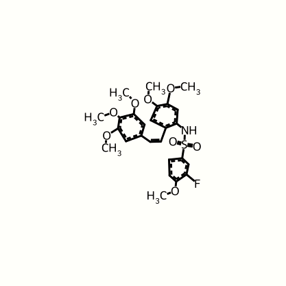 COc1ccc(S(=O)(=O)Nc2cc(OC)c(OC)cc2/C=C\c2cc(OC)c(OC)c(OC)c2)cc1F